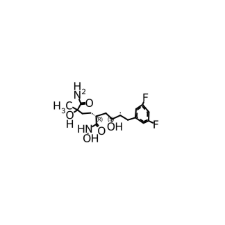 CC(O)(CC[C@H](C[C@@H](O)[CH]Cc1cc(F)cc(F)c1)C(=O)NO)C(N)=O